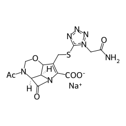 CC(=O)N1COC2C(CSc3nnnn3CC(N)=O)=C(C(=O)[O-])N3C(=O)[C@@H]1[C@@H]23.[Na+]